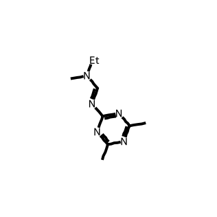 CCN(C)/C=N/c1nc(C)nc(C)n1